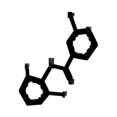 O=C(Nc1c(F)cccc1F)c1ccnc(Br)c1